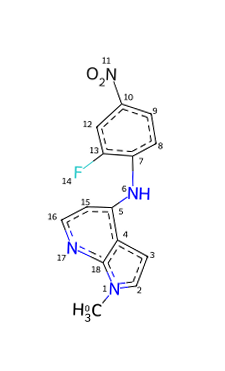 Cn1ccc2c(Nc3ccc([N+](=O)[O-])cc3F)ccnc21